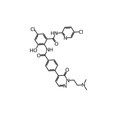 CN(C)CCn1nccc(-c2ccc(C(=O)Nc3c(O)cc(Cl)cc3C(=O)Nc3ccc(Cl)cn3)cc2)c1=O